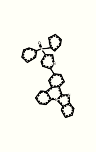 O=P(c1ccccc1)(c1ccccc1)c1ccc(-c2ccc3c(c2)c2ccccc2n2c4ccccc4nc32)nc1